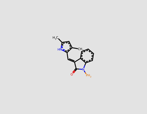 Cc1cc(C)c(C=C2C(=O)N(P)c3ccccc32)[nH]1